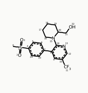 CS(=O)(=O)c1ccc(-c2cc(C(F)(F)F)cnc2N2CCCCC2CO)cc1